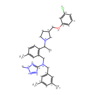 CCC(c1ccc(C(F)(F)F)cc1CN(Cc1cc(C(F)(F)F)cc(C(F)(F)F)c1)c1nnn(C)n1)N1CCC(COc2cccc(Cl)c2)C1